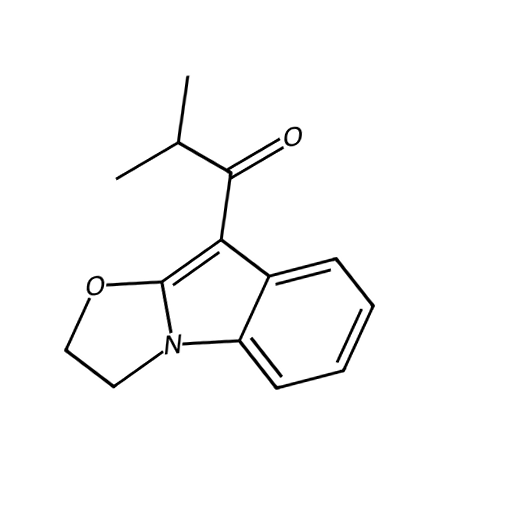 CC(C)C(=O)c1c2n(c3ccccc13)CCO2